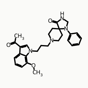 COc1cccc2c(C(C)=O)cn(CCCN3CCC4(CC3)C(=O)NCN4c3ccccc3)c12